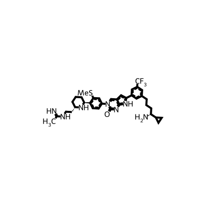 CSc1cc(-n2cc3cc(-c4cc(CCC[C@@H](N)C5CC5)cc(C(F)(F)F)c4)[nH]c3nc2=O)ccc1[C@@H]1CCC[C@@H](CCNC(C)=N)N1